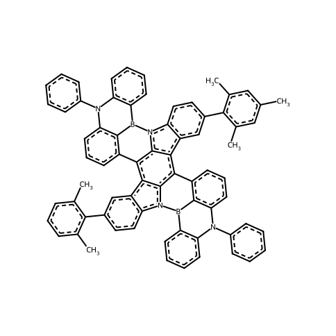 Cc1cc(C)c(-c2ccc3c(c2)c2c4c5c(c6c2n3B2c3ccccc3N(c3ccccc3)c3cccc-6c32)c2cc(-c3c(C)cccc3C)ccc2n5B2c3ccccc3N(c3ccccc3)c3cccc-4c32)c(C)c1